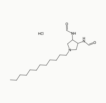 CCCCCCCCCCCCN1CC(NC=O)C(NC=O)C1.Cl